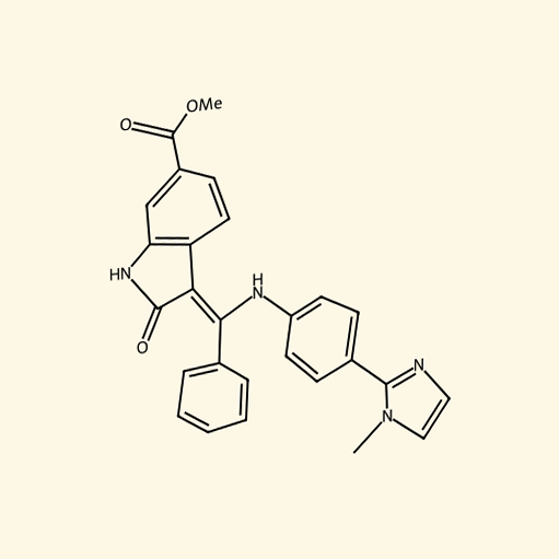 COC(=O)c1ccc2c(c1)NC(=O)C2=C(Nc1ccc(-c2nccn2C)cc1)c1ccccc1